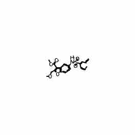 C=C/C=C(\C=C/C)S(=O)(=O)Nc1ccc2oc(COC)c(C(=O)OC)c2c1